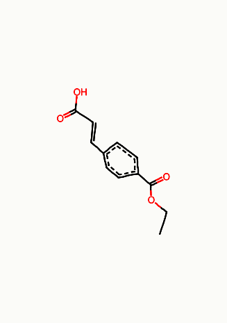 CCOC(=O)c1ccc(C=CC(=O)O)cc1